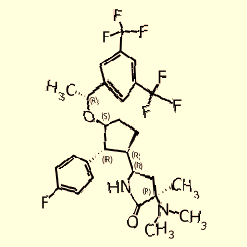 C[C@@H](O[C@H]1CC[C@@H]([C@H]2C[C@@](C)(N(C)C)C(=O)N2)[C@@H]1c1ccc(F)cc1)c1cc(C(F)(F)F)cc(C(F)(F)F)c1